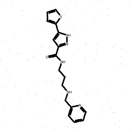 O=C(NCCCNCc1ccccn1)c1cc(-c2cccs2)[nH]n1